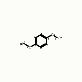 CCCOc1ccc(OCCC)cc1